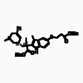 CCC1=C[C@H](C[C@@](I)(C(=O)OC)c2[nH]c3ccc(SCCC(=O)OC)cc3c2C)CN(C)C1